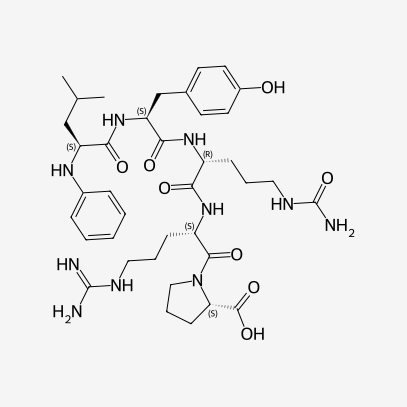 CC(C)C[C@H](Nc1ccccc1)C(=O)N[C@@H](Cc1ccc(O)cc1)C(=O)N[C@H](CCCNC(N)=O)C(=O)N[C@@H](CCCNC(=N)N)C(=O)N1CCC[C@H]1C(=O)O